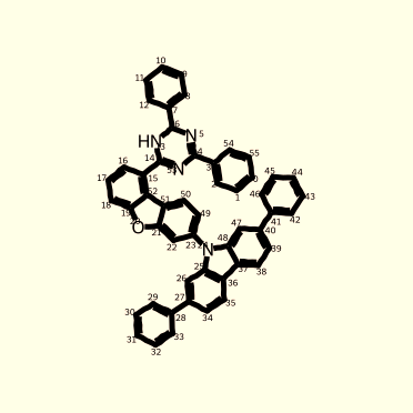 c1ccc(C2=NC(c3ccccc3)NC(c3cccc4oc5cc(-n6c7cc(-c8ccccc8)ccc7c7ccc(-c8ccccc8)cc76)ccc5c34)=N2)cc1